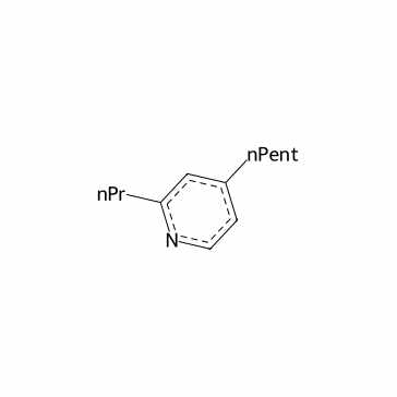 CCCCCc1ccnc(CCC)c1